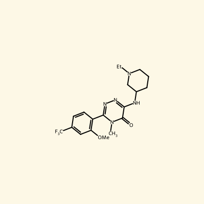 CCN1CCCC(Nc2nnc(-c3ccc(C(F)(F)F)cc3OC)n(C)c2=O)C1